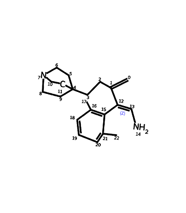 C=C(CCC12CCN(CC1)CC2)/C(=C/N)c1c(C)cccc1C